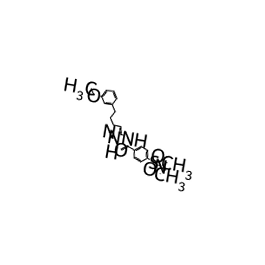 COc1cccc(CCc2cc(NC(=O)c3ccc(S(=O)(=O)N(C)C)cc3)[nH]n2)c1